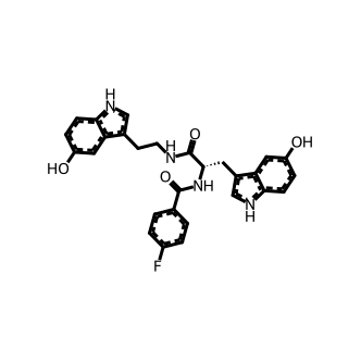 O=C(N[C@@H](Cc1c[nH]c2ccc(O)cc12)C(=O)NCCc1c[nH]c2ccc(O)cc12)c1ccc(F)cc1